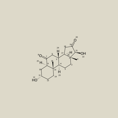 C[C@@]12CC[C@@H]3[C@H](CC(=O)[C@@H]4C[C@@H](O)CC[C@@]34C)[C@H]1CC(=O)[C@H]2O